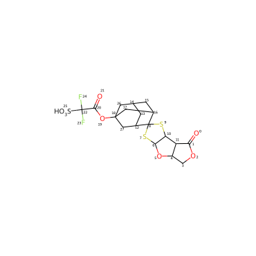 O=C1OCC2OC3SC4(SC3C12)C1CC2CC4CC(OC(=O)C(F)(F)S(=O)(=O)O)(C2)C1